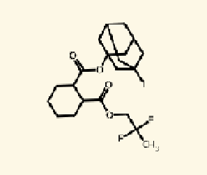 CC(F)(F)COC(=O)C1CCCCC1C(=O)OC12CC3CC(CC(I)(C3)C1)C2